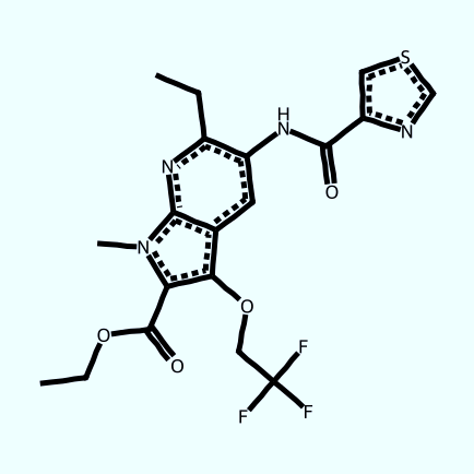 CCOC(=O)c1c(OCC(F)(F)F)c2cc(NC(=O)c3cscn3)c(CC)nc2n1C